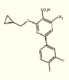 Cc1ccc(-c2cc(C(F)(F)F)c(C(=O)O)c(OCC3CC3)n2)cc1F